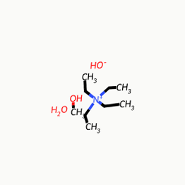 CC[N+](CC)(CC)CC.CO.O.[OH-]